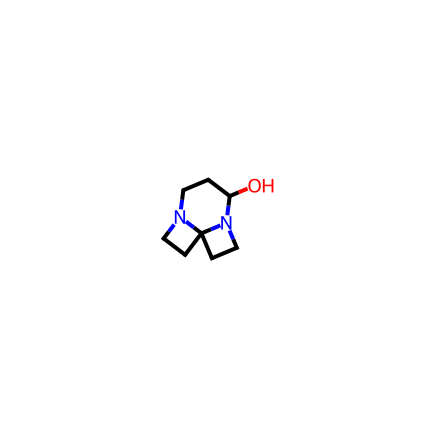 OC1CCN2CCC23CCN13